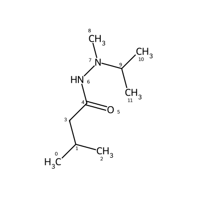 CC(C)CC(=O)NN(C)C(C)C